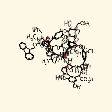 CC(C)C[C@H](C(=O)N[C@H]1C(=O)N[C@@H](CC(N)=O)C(=O)N[C@H]2C(=O)N[C@H]3C(=O)N[C@H](C(=O)N[C@H](C(=O)O)c4cc(O)cc(O)c4-c4cc3ccc4O)[C@H](O)c3ccc(c(Cl)c3)Oc3cc2cc(c3O[C@@H]2O[C@H](CO)[C@@H](O)[C@H](O)[C@H]2O[C@H]2C[C@](C)(NC(=O)OCC3c4ccccc4-c4ccccc43)[C@H](O)[C@H](C)O2)Oc2ccc(cc2Cl)[C@H]1O)N(C)C(=O)OCC1c2ccccc2-c2ccccc21